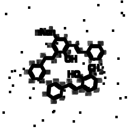 CCCCCCCCCc1cc(C=Cc2ccccc2)c(O)c(C=Cc2ccccc2)c1.Cc1cccc(C=Cc2ccccc2)c1O